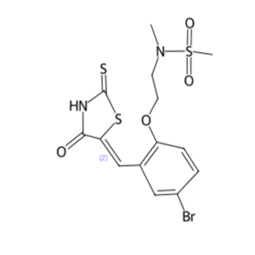 CN(CCOc1ccc(Br)cc1/C=C1\SC(=S)NC1=O)S(C)(=O)=O